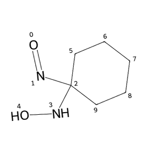 O=NC1(NO)CCCCC1